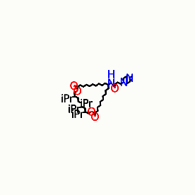 CC(C)CCC(COC(=O)CCCCCCCCCC(CCCCCCCCCC(=O)OCC(CCC(C)C)C(C)C)NC(=O)CCN1CCN(C)CC1)C(C)C